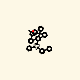 Cc1cncc(-c2ccccc2-c2cc3c(cc2-c2nc(-c4ccccc4)nc(-c4cccc(-c5ccccc5)c4)n2)-c2ccccc2C3(c2ccccc2)c2ccccc2)c1